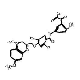 COc1ccc2c(c1)O[C@H](COc1cc(Cl)c(C(=O)Nc3ccc(C)c(C(=O)C(=O)O)c3)cc1Cl)CN2C